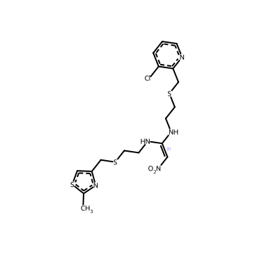 Cc1nc(CSCCN/C(=C\[N+](=O)[O-])NCCSCc2ncccc2Cl)cs1